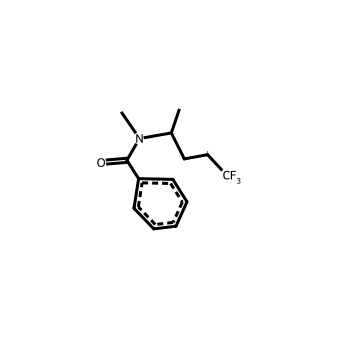 CC(C[CH]C(F)(F)F)N(C)C(=O)c1ccccc1